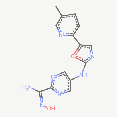 Cc1ccc(-c2cnc(Nc3cnc(/C(N)=N\O)nc3)o2)nc1